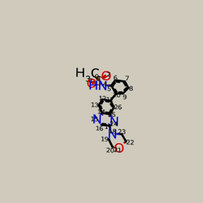 CS(=O)(=O)Nc1ccccc1-c1ccc2ncc(N3CCOCC3)nc2c1